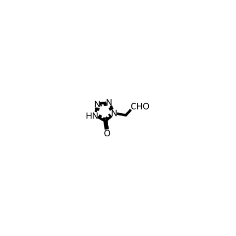 O=CCn1nn[nH]c1=O